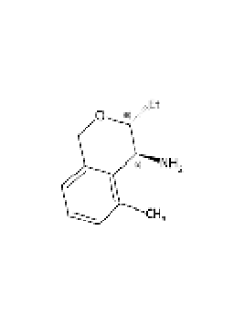 CC[C@H]1OCc2cccc(C)c2[C@@H]1N